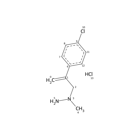 C=C(CN(C)N)c1ccc(Cl)cc1.Cl